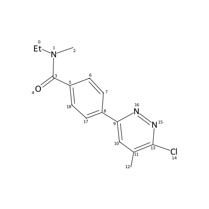 CCN(C)C(=O)c1ccc(-c2cc(C)c(Cl)nn2)cc1